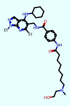 CCc1nc2c(cnn2CC)c(NC2CCCCC2)c1CNC(=O)c1ccc(NC(=O)CCCCCCCN(C)CCO)cc1